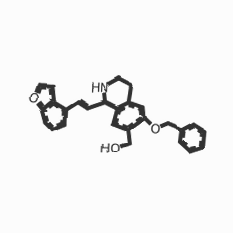 OCc1cc2c(cc1OCc1ccccc1)CCNC2/C=C/c1cccc2occc12